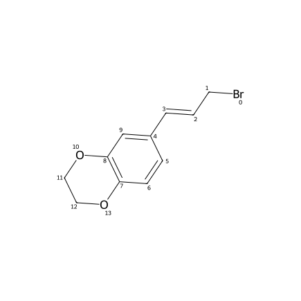 BrC/C=C/c1ccc2c(c1)OCCO2